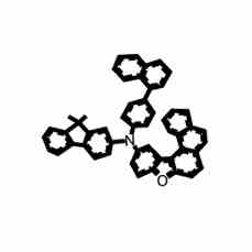 CC1(C)c2ccccc2-c2ccc(N(c3ccc(-c4cccc5ccccc45)cc3)c3ccc4oc5ccc6ccc7ccccc7c6c5c4c3)cc21